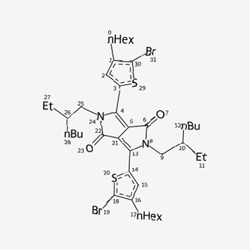 CCCCCCc1cc(C2=C3C(=O)N(CC(CC)CCCC)C(c4cc(CCCCCC)c(Br)s4)=C3C(=O)N2CC(CC)CCCC)sc1Br